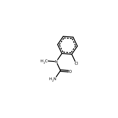 [CH2]N(C(N)=O)c1ccccc1Cl